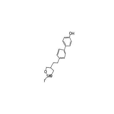 Oc1ccc(-c2ccc(CCC3CO[SiH](I)OC3)cc2)cc1